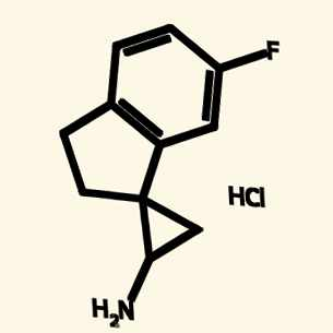 Cl.NC1CC12CCc1ccc(F)cc12